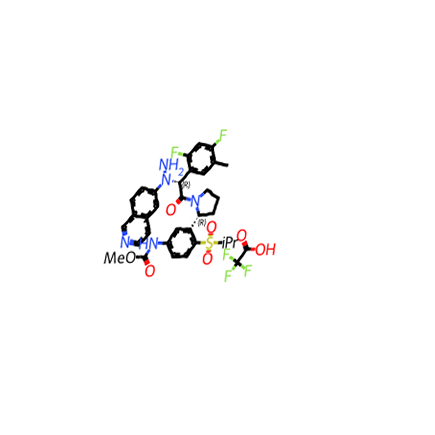 COC(=O)Nc1ccc(S(=O)(=O)C(C)C)c([C@H]2CCCN2C(=O)[C@@H](c2cc(C)c(F)cc2F)N(N)c2ccc3cnccc3c2)c1.O=C(O)C(F)(F)F